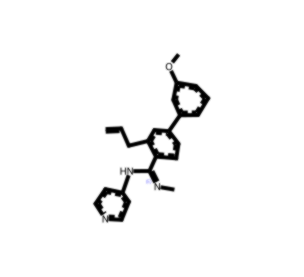 C=CCc1cc(-c2cccc(OC)c2)ccc1/C(=N\C)Nc1ccncc1